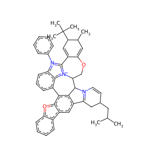 CC(C)CC1C=C[N+]2=C(C1)c1cc3c(oc4ccccc43)c3c1C2C1COC2=CC(C)C(C(C)(C)C)C=C2c2n(-c4ccccc4)c4cccc-3c4[n+]21